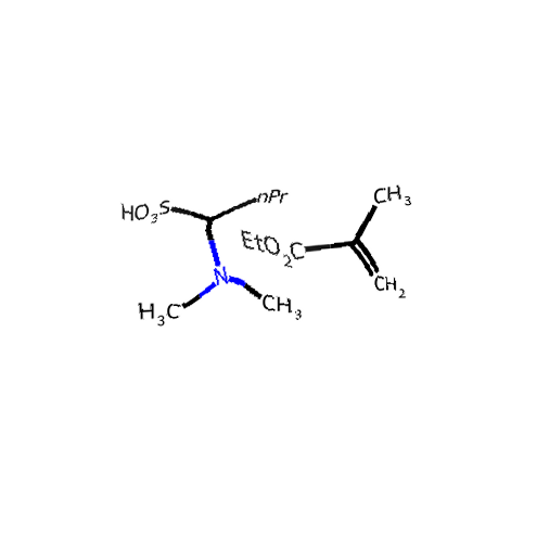 C=C(C)C(=O)OCC.CCCC(N(C)C)S(=O)(=O)O